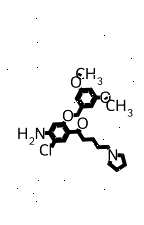 COc1cc(COc2cc(N)c(Cl)cc2C(=O)CCCCN2CCCC2)cc(OC)c1